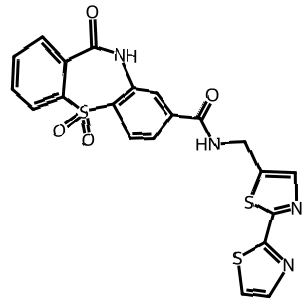 O=C(NCc1cnc(-c2nccs2)s1)c1ccc2c(c1)NC(=O)c1ccccc1S2(=O)=O